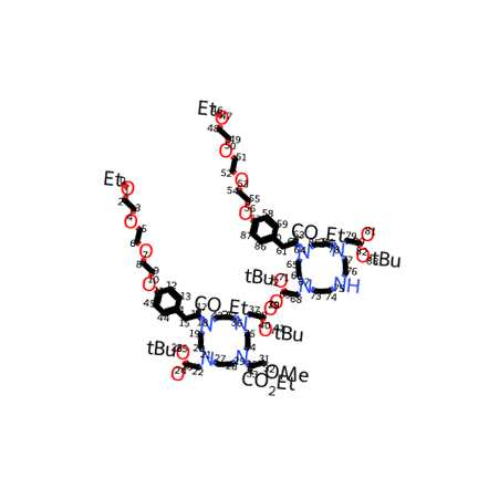 CCOCCOCCOCCOc1ccc(CC(C(=O)OCC)N2CCN(CC(=O)OC(C)(C)C)CCN(C(COC)C(=O)OCC)CCN(CC(=O)OC(C)(C)C)CC2)cc1.CCOCCOCCOCCOc1ccc(CC(C(=O)OCC)N2CCN(CC(=O)OC(C)(C)C)CCNCCN(CC(=O)OC(C)(C)C)CC2)cc1